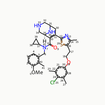 COc1cccc(CN(C(=O)C2=C(c3nc(C)c(CCOc4cc(C)c(Cl)c(C)c4)s3)CC3CNC[C@H]2N3)C2CC2)c1C